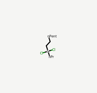 CCCCCCC[Si](Cl)(Cl)CCC